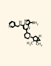 Bc1cnn2c(NCc3cccnc3)cc(C3CCCN(C4C[C@@H]5CC5(C)[C@@H]4C)C3)nc12